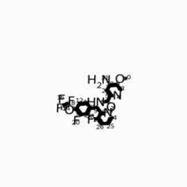 COc1cnc(C(=O)NC(c2ccc(OC(F)(F)F)c(F)c2)c2ncccc2F)cc1N